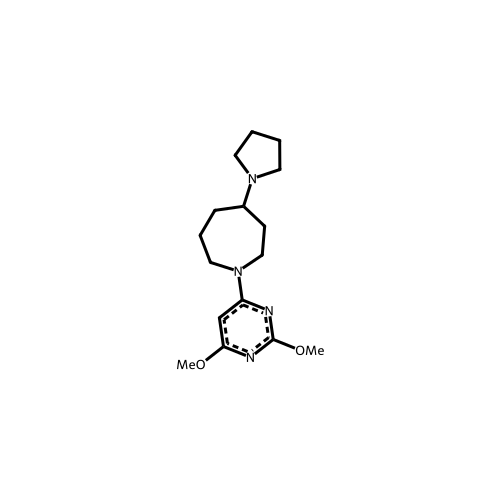 COc1cc(N2CCCC(N3CCCC3)CC2)nc(OC)n1